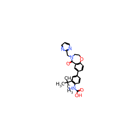 CC(C)(C)c1cc(-c2ccc3c(c2)C(=O)N(Cc2ncccn2)CCO3)ccc1NC(=O)O